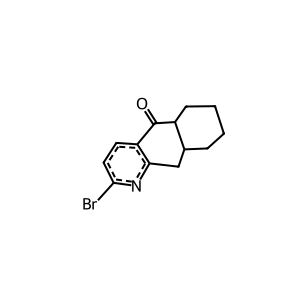 O=C1c2ccc(Br)nc2CC2CCCCC12